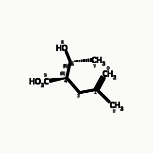 C=C(C)C[C@@H](C(=O)O)[C@@H](C)O